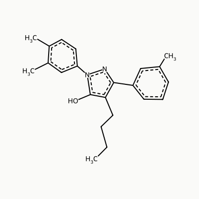 CCCCc1c(-c2cccc(C)c2)nn(-c2ccc(C)c(C)c2)c1O